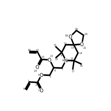 C=CC(=O)OCC(CN1C(C)(C)CC2(CC1(C)C)OCCO2)OC(=O)C=C